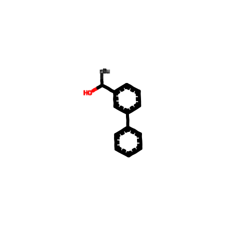 CCCCC(O)c1cccc(-c2ccccc2)c1